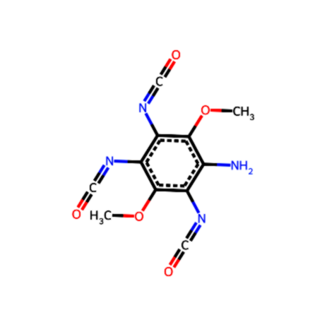 COc1c(N)c(N=C=O)c(OC)c(N=C=O)c1N=C=O